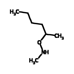 CCCCC(C)ONC